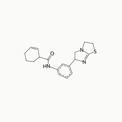 O=C(Nc1cccc(C2CN3CCSC3=N2)c1)C1C=CCCC1